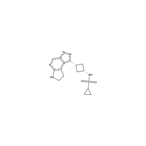 O=S(=O)(N[C@H]1C[C@@H](c2nnc3cnc4c(n32)CCN4)C1)C1CC1